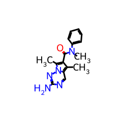 Cc1c(C(=O)N(C)c2ccccc2)c(C)n2nc(N)ncc12